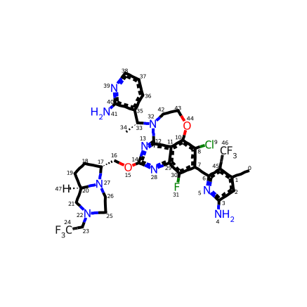 Cc1cc(N)nc(-c2c(Cl)c3c4c(nc(OC[C@H]5CC[C@@H]6CN(CC(F)(F)F)CCN56)nc4c2F)N([C@H](C)c2cccnc2N)CCO3)c1C(F)(F)F